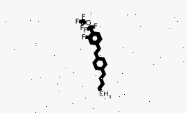 CCCCCC1CCC(CCc2ccc(C(F)(F)OC(F)(F)F)c(F)c2)CC1